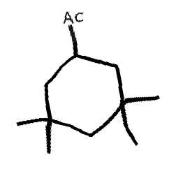 CC(=O)C1CC(C)(C)CC(C)(C)C1